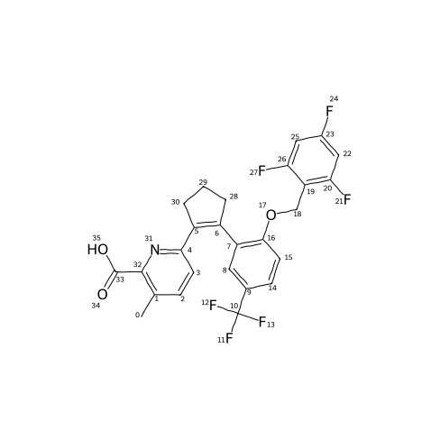 Cc1ccc(C2=C(c3cc(C(F)(F)F)ccc3OCc3c(F)cc(F)cc3F)CCC2)nc1C(=O)O